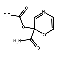 NC(=O)C1(OC(=O)C(F)(F)F)C=NC=CO1